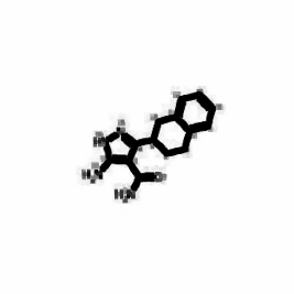 NC(=O)c1c(C2CCc3ccccc3C2)n[nH]c1N